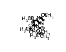 COC(=O)c1nc(OC)cnc1N(C(=O)OC(C)(C)C)C(=O)OC(C)(C)C